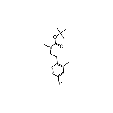 Cc1cc(Br)ccc1CCN(C)C(=O)OC(C)(C)C